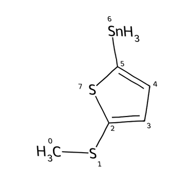 CSc1cc[c]([SnH3])s1